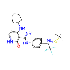 CC(C)(C)SN[C@@H](c1ccc(NC(=N)c2c(NC3CCCCC3)cc[nH]c2=O)cc1)C(F)(F)F